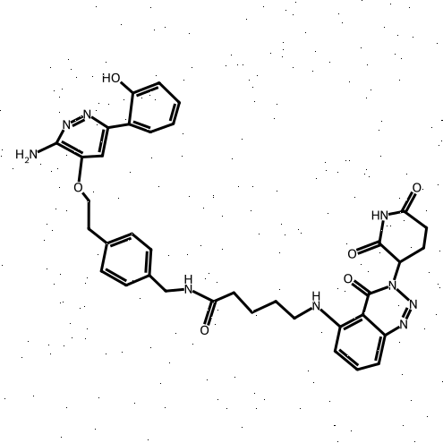 Nc1nnc(-c2ccccc2O)cc1OCCc1ccc(CNC(=O)CCCCNc2cccc3nnn(C4CCC(=O)NC4=O)c(=O)c23)cc1